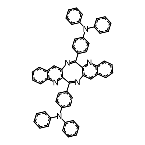 c1ccc(N(c2ccccc2)c2ccc(/C3=N/c4cc5ccccc5nc4/C(c4ccc(N(c5ccccc5)c5ccccc5)cc4)=N\c4cc5ccccc5nc43)cc2)cc1